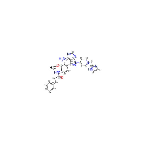 COc1cc(-c2nn(C3CCN(Cc4ncc[nH]4)CC3)c3ncnc(N)c23)ccc1NC(=O)CCc1ccccc1